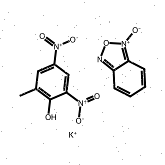 Cc1cc([N+](=O)[O-])cc([N+](=O)[O-])c1O.[K+].[O-][n+]1onc2ccccc21